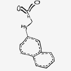 O=[SH](=O)CNc1c[c]c2ccccc2c1